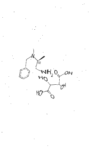 C[C@@H](CN)N(C)Cc1ccccc1.O=C(O)C(O)C(O)C(=O)O